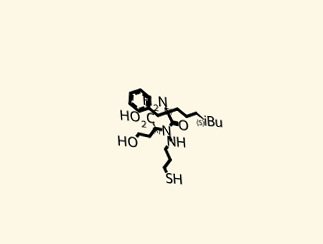 CC[C@H](C)CCC[C@@](N)(Cc1ccccc1)C(=O)N(NCCCS)[C@H](CCO)C(=O)O